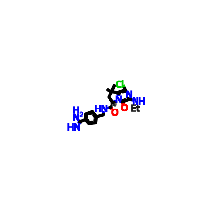 CCNc1nc(Cl)c2n(c1=O)[C@H](C(=O)NCc1ccc(C(=N)N)cc1)CC2(C)C